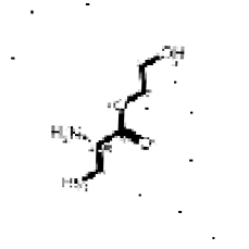 N[C@@H](CS)C(=O)OCCO